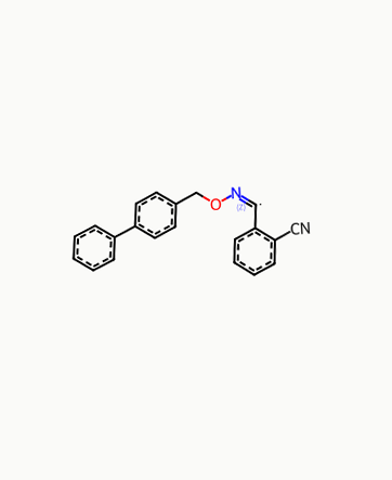 N#Cc1ccccc1/[C]=N\OCc1ccc(-c2ccccc2)cc1